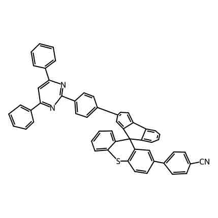 N#Cc1ccc(-c2ccc3c(c2)C2(c4ccccc4S3)c3ccccc3-c3ccc(-c4ccc(-c5nc(-c6ccccc6)cc(-c6ccccc6)n5)cc4)cc32)cc1